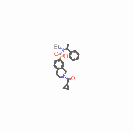 CCN(C(C)c1ccccc1)S(=O)(=O)c1ccc2c(c1)CN(C(=O)C1CC1)CC2